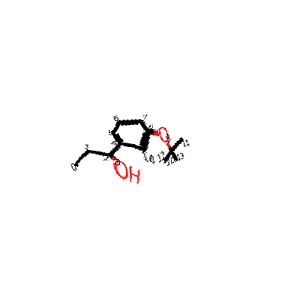 CCC(O)c1cccc(OC(C)(C)C)c1